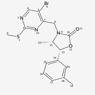 CSc1ncc(Br)c(CN2C(=O)O[C@H](c3cccc(C)c3)[C@@H]2C)n1